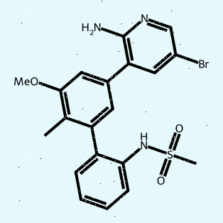 COc1cc(-c2cc(Br)cnc2N)cc(-c2ccccc2NS(C)(=O)=O)c1C